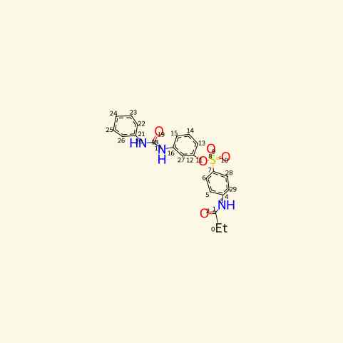 CCC(=O)Nc1ccc(S(=O)(=O)Oc2cccc(NC(=O)Nc3ccccc3)c2)cc1